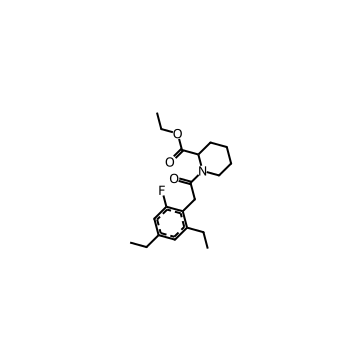 CCOC(=O)C1CCCCN1C(=O)Cc1c(F)cc(CC)cc1CC